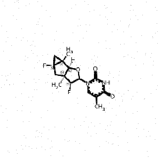 Cc1cn(C2O[C@H]3[C@](C)(C[C@]4(F)C[C@]34C)[C@@H]2F)c(=O)[nH]c1=O